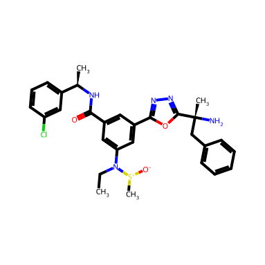 CCN(c1cc(C(=O)N[C@H](C)c2cccc(Cl)c2)cc(-c2nnc([C@](C)(N)Cc3ccccc3)o2)c1)[S+](C)[O-]